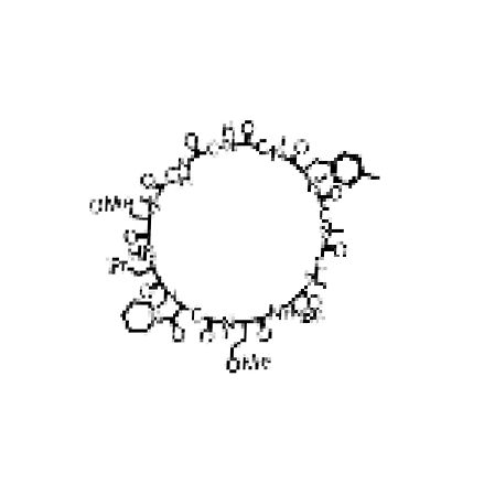 CC[C@H](C)C1NC(=O)C(CCOC)N(C)C(=O)CC(C(=O)N2CCCCC2)N(C)C(=O)C(CC(C)C)NC(=O)C(COC)N(C)C(=O)CNC(=O)CNC(=O)CN(C)C(=O)C(Cc2ccc(C)cc2)N(C)C(=O)CN(C)C(=O)CN(C)C1=O